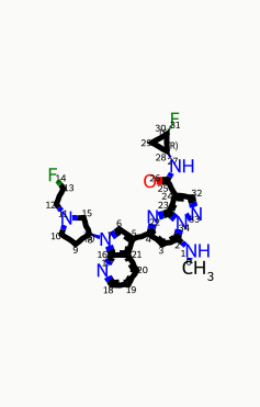 CNc1cc(-c2cn([C@H]3CCN(CCF)C3)c3ncccc23)nc2c(C(=O)N[C@@H]3C[C@@H]3F)cnn12